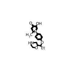 CCC(Oc1ccc(-n2cc(O)c(=O)cc2C)cc1)C1CNCCO1